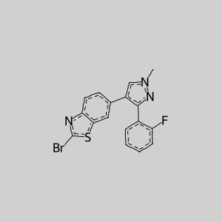 Cn1cc(-c2ccc3nc(Br)sc3c2)c(-c2ccccc2F)n1